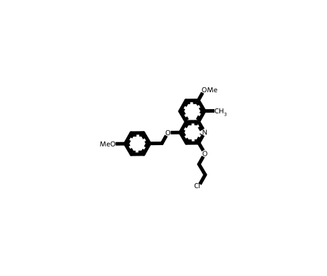 COc1ccc(COc2cc(OCCCl)nc3c(C)c(OC)ccc23)cc1